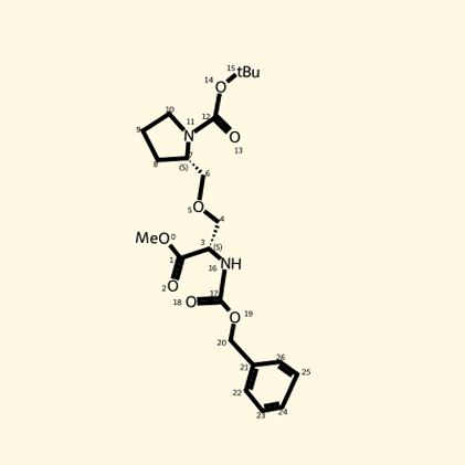 COC(=O)[C@H](COC[C@@H]1CCCN1C(=O)OC(C)(C)C)NC(=O)OCc1ccccc1